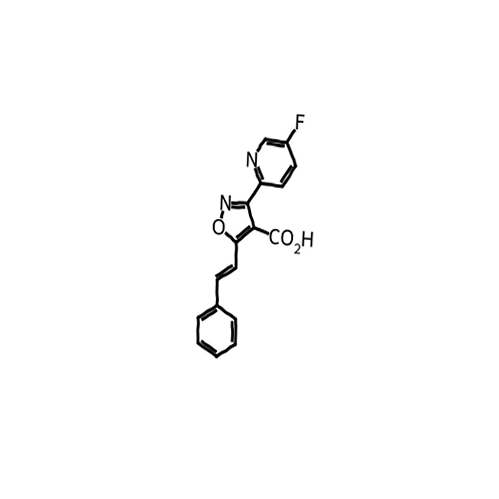 O=C(O)c1c(-c2ccc(F)cn2)noc1C=Cc1ccccc1